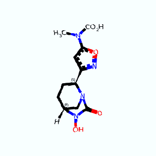 CN(C(=O)O)c1cc([C@@H]2CC[C@@H]3CN2C(=O)N3O)no1